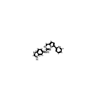 c1ccc(-c2ccc3cnc(Nc4ccc5nc[nH]c5c4)nn23)nc1